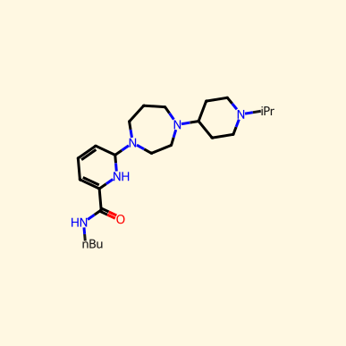 CCCCNC(=O)C1=CC=CC(N2CCCN(C3CCN(C(C)C)CC3)CC2)N1